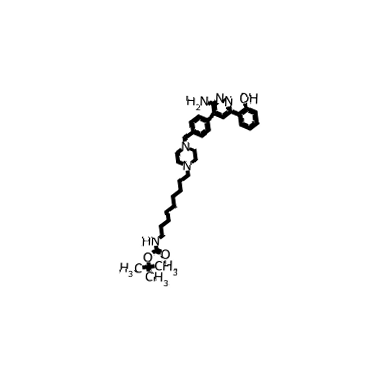 CC(C)(C)OC(=O)NCCCCCCCCCN1CCN(Cc2ccc(-c3cc(-c4ccccc4O)nnc3N)cc2)CC1